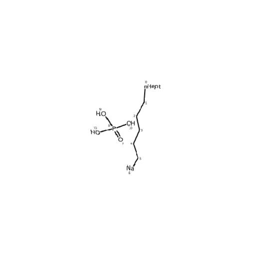 CCCCCCCCCCC[CH2][Na].O=P(O)(O)O